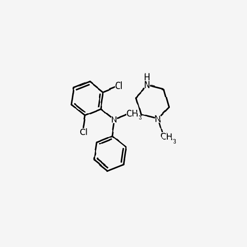 CN(c1ccccc1)c1c(Cl)cccc1Cl.CN1CCNCC1